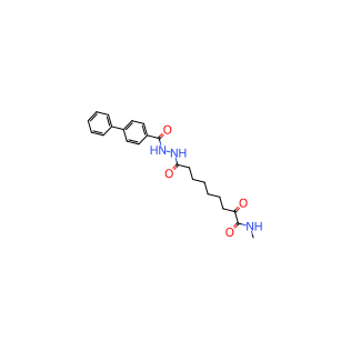 CNC(=O)C(=O)CCCCCCC(=O)NNC(=O)c1ccc(-c2ccccc2)cc1